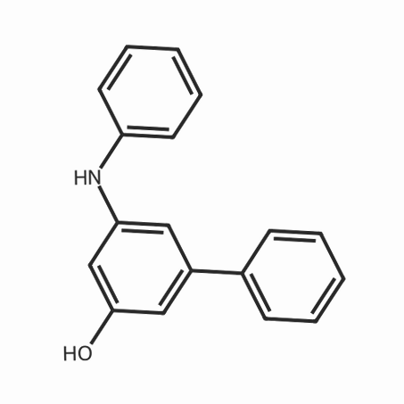 Oc1cc(Nc2ccccc2)cc(-c2ccccc2)c1